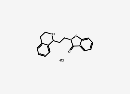 Cl.O=c1c2ccccc2sn1CCC1NCCc2ccccc21